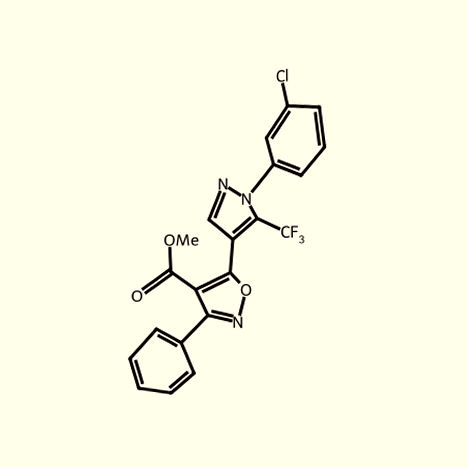 COC(=O)c1c(-c2ccccc2)noc1-c1cnn(-c2cccc(Cl)c2)c1C(F)(F)F